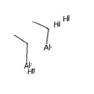 C[CH2][Al].C[CH2][Al].I.I.I